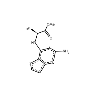 CCC[C@H](Nc1nc(N)nc2ccsc12)C(=O)OC